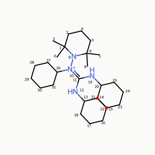 CC1(C)CCCC(C)(C)N1[N+](=C(NC1CCCCC1)NC1CCCCC1)C1CCCCC1